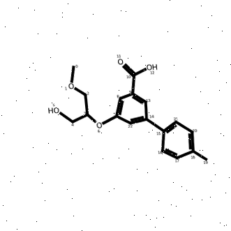 COCC(CO)Oc1cc(C(=O)O)cc(-c2ccc(C)cc2)c1